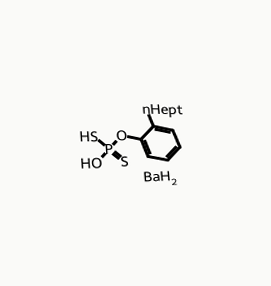 CCCCCCCc1ccccc1OP(O)(=S)S.[BaH2]